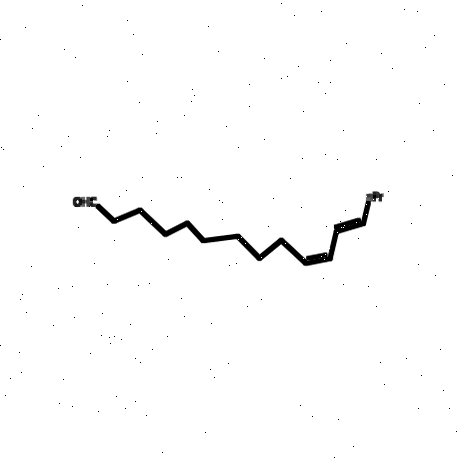 CCCC=C/C=C\CCCCCCCCC=O